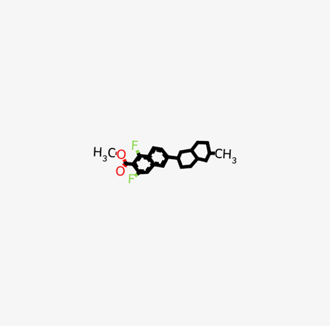 COC(=O)c1c(F)cc2cc(C3CCC4CC(C)CCC4C3)ccc2c1F